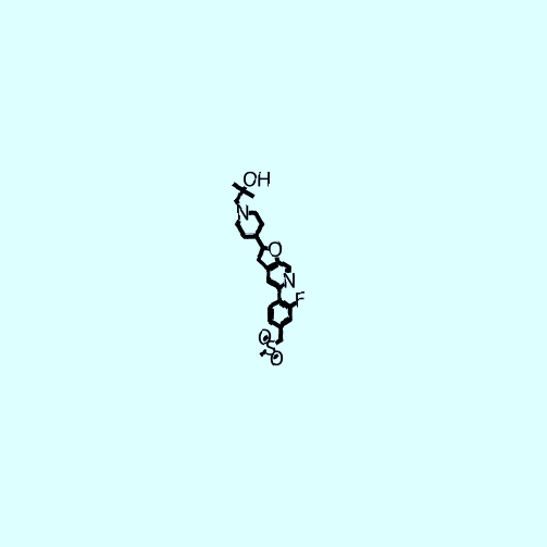 CC(C)(O)CN1CCC(C2Cc3cc(-c4ccc(CS(C)(=O)=O)cc4F)ncc3O2)CC1